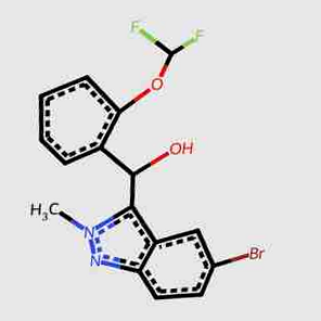 Cn1nc2ccc(Br)cc2c1C(O)c1ccccc1OC(F)F